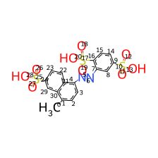 Cc1ccc(N=Nc2cc(S(=O)(=O)O)ccc2S(=O)(=O)O)c2ccc(S(=O)(=O)O)cc12